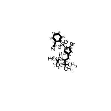 CC(C)(C)C(Cc1cc(Br)n(S(=O)(=O)c2ccccc2C#N)c1)NC(=O)O